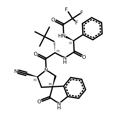 CC(C)(C)C[C@H](NC(=O)[C@@H](NC(=O)C(F)(F)F)c1ccccc1)C(=O)N1C[C@]2(C[C@H]1C#N)C(=O)Nc1ccccc12